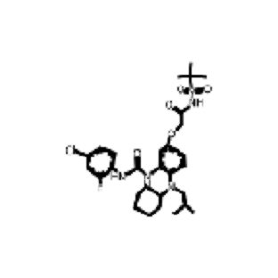 CC(C)CN(c1ccc(OCC(=O)NS(=O)(=O)C(C)(C)C)cc1NC(=O)Nc1ccc(Cl)cc1F)C1CCCCC1